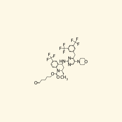 CC[C@@H]1C[C@H](Nc2ncc(N3CCOCC3)c(Cc3cc(C(F)(F)F)cc(C(F)(F)F)c3)n2)c2cc(C(F)(F)F)ccc2N1C(=O)OCCCCC=O